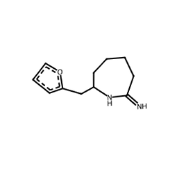 N=C1CCCCC(Cc2ccco2)N1